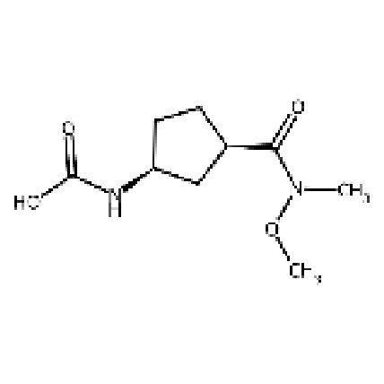 CON(C)C(=O)[C@@H]1CC[C@H](NC(=O)O)C1